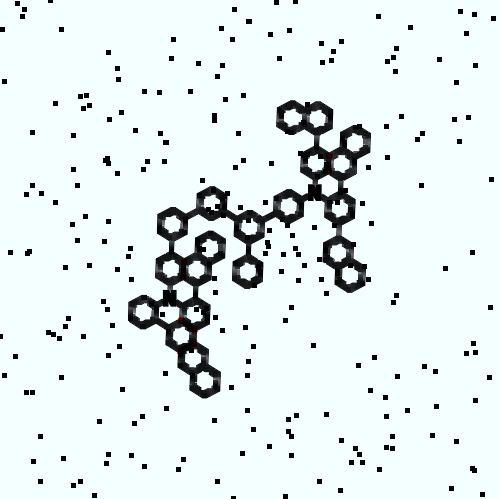 c1ccc(-c2cc(-c3ccc(N(c4ccc(-c5cccc6ccccc56)cc4)c4cc(-c5ccc6ccccc6c5)ccc4-c4ccc5ccccc5c4)cc3)cc(-c3cccc(-c4cccc(-c5ccc(N(c6ccccc6-c6ccccc6)c6cc(-c7ccc8ccccc8c7)ccc6-c6ccc7ccccc7c6)cc5)c4)c3)c2)cc1